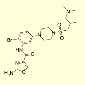 CC(CN(C)C)CS(=O)(=O)N1CCN(c2ccc(Br)c(NC(=O)c3coc(N)n3)c2)CC1